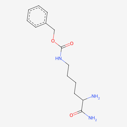 NC(=O)C(N)CCCCNC(=O)OCc1ccccc1